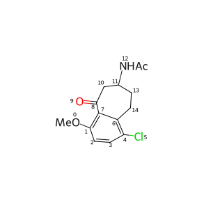 COc1ccc(Cl)c2c1C(=O)CC(NC(C)=O)CC2